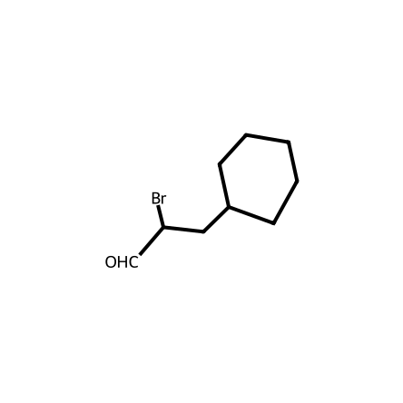 O=CC(Br)CC1CCCCC1